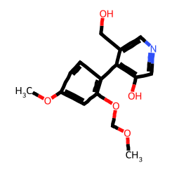 COCOc1cc(OC)ccc1-c1c(O)cncc1CO